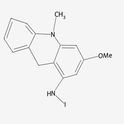 COc1cc(NI)c2c(c1)N(C)c1ccccc1C2